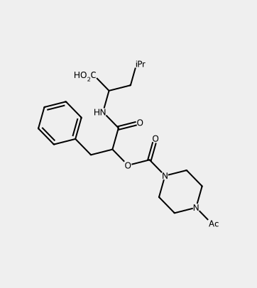 CC(=O)N1CCN(C(=O)OC(Cc2ccccc2)C(=O)NC(CC(C)C)C(=O)O)CC1